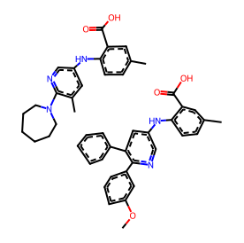 COc1cccc(-c2ncc(Nc3ccc(C)cc3C(=O)O)cc2-c2ccccc2)c1.Cc1ccc(Nc2cnc(N3CCCCCC3)c(C)c2)c(C(=O)O)c1